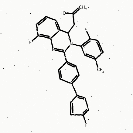 C=C(O)CC1c2cccc(F)c2N=C(c2ccc(-c3ccc(F)cc3)cc2)N1c1cc(C(F)(F)F)ccc1F